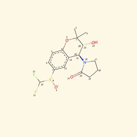 CC1(C)Oc2ccc([S+]([O-])C(F)F)cc2[C@H](N2CCCC2=O)[C@H]1O